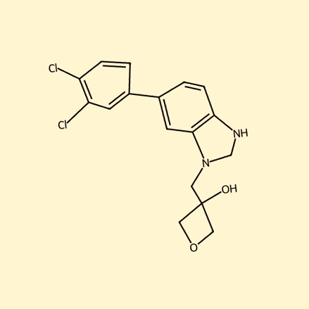 OC1(CN2CNc3ccc(-c4ccc(Cl)c(Cl)c4)cc32)COC1